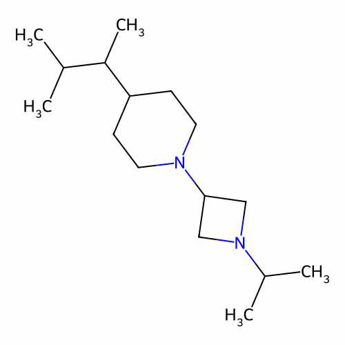 CC(C)C(C)C1CCN(C2CN(C(C)C)C2)CC1